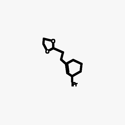 CC(C)C1C=C(CCC2OCCO2)CCC1